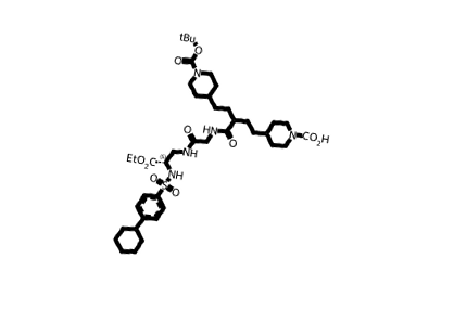 CCOC(=O)[C@H](CNC(=O)CNC(=O)C(CCC1CCN(C(=O)O)CC1)CCC1CCN(C(=O)OC(C)(C)C)CC1)NS(=O)(=O)c1ccc(C2CCCCC2)cc1